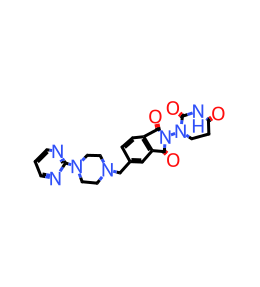 O=C1CCN(N2C(=O)c3ccc(CN4CCN(c5ncccn5)CC4)cc3C2=O)C(=O)N1